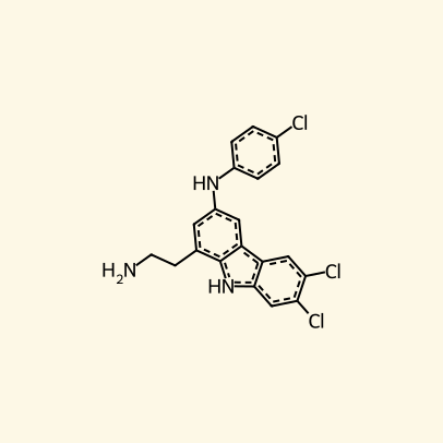 NCCc1cc(Nc2ccc(Cl)cc2)cc2c1[nH]c1cc(Cl)c(Cl)cc12